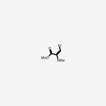 CCC=C(NC)C(=O)OC